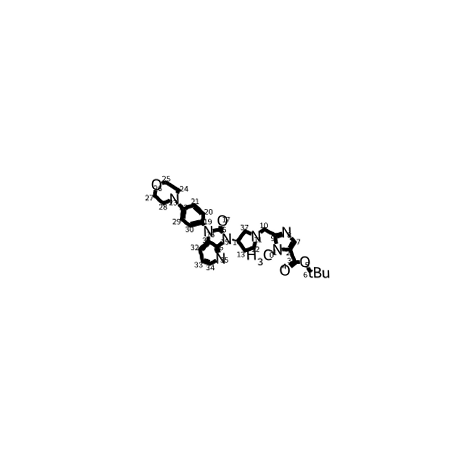 Cn1c(C(=O)OC(C)(C)C)cnc1CN1CC[C@H](n2c(=O)n(-c3ccc(N4CCOCC4)cc3)c3cccnc32)C1